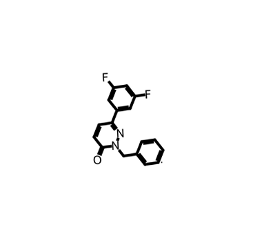 O=c1ccc(-c2cc(F)cc(F)c2)nn1Cc1c[c]ccc1